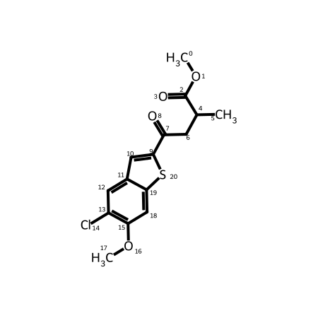 COC(=O)C(C)CC(=O)c1cc2cc(Cl)c(OC)cc2s1